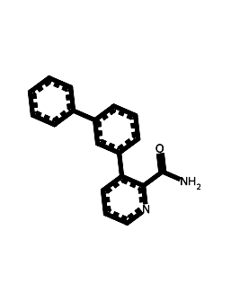 NC(=O)c1ncccc1-c1cccc(-c2ccccc2)c1